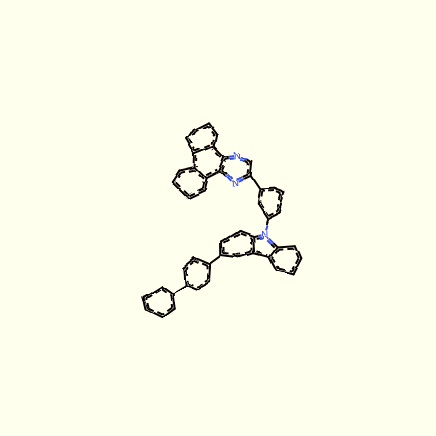 c1ccc(-c2ccc(-c3ccc4c(c3)c3ccccc3n4-c3cccc(-c4cnc5c6ccccc6c6ccccc6c5n4)c3)cc2)cc1